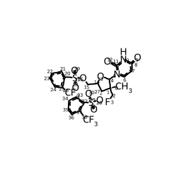 C[C@]1(CF)C(n2ccc(=O)[nH]c2=O)OC(COS(=O)(=O)c2ccccc2C(F)(F)F)[C@H]1OS(=O)(=O)c1ccccc1C(F)(F)F